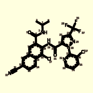 CC(C)NC(=O)c1cc2cc(C#N)ccc2c(Cl)c1NC(=O)c1cc(C(F)(F)F)nn1-c1ncccc1Cl